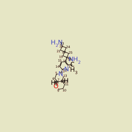 Cc1nc(N2CC[C@H]3OCCC[C@@H]3C2)ccc1C1(N)CC2(CC(N)C2)C1